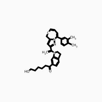 C=C(c1cc2n(n1)/C(c1ccc(C)c(C)c1)=C\C=C/CC2)N1CCc2ccc(C(=O)CCCCCO)cc21